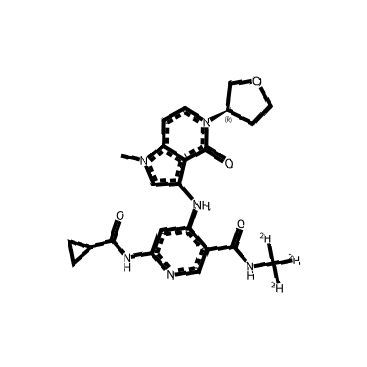 [2H]C([2H])([2H])NC(=O)c1cnc(NC(=O)C2CC2)cc1Nc1cn(C)c2ccn([C@@H]3CCOC3)c(=O)c12